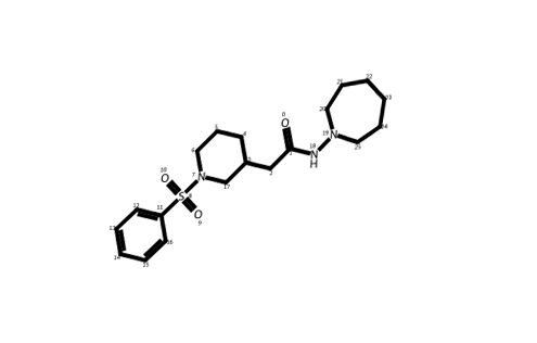 O=C(CC1CCCN(S(=O)(=O)c2ccccc2)C1)NN1CCCCCC1